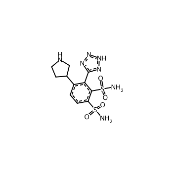 NS(=O)(=O)c1ccc(C2CCNC2)c(-c2nn[nH]n2)c1S(N)(=O)=O